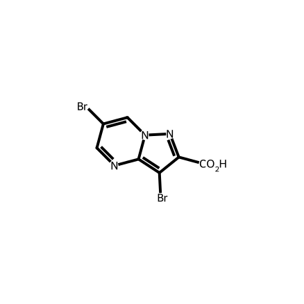 O=C(O)c1nn2cc(Br)cnc2c1Br